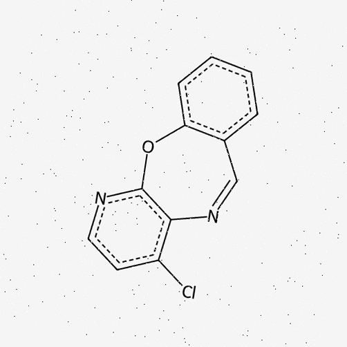 Clc1ccnc2c1N=Cc1ccccc1O2